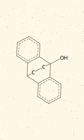 OC12CCC(c3ccccc31)c1ccccc12